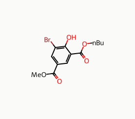 CCCCOC(=O)c1cc(C(=O)OC)cc(Br)c1O